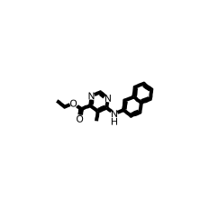 CCOC(=O)c1ncnc(Nc2ccc3ccccc3c2)c1C